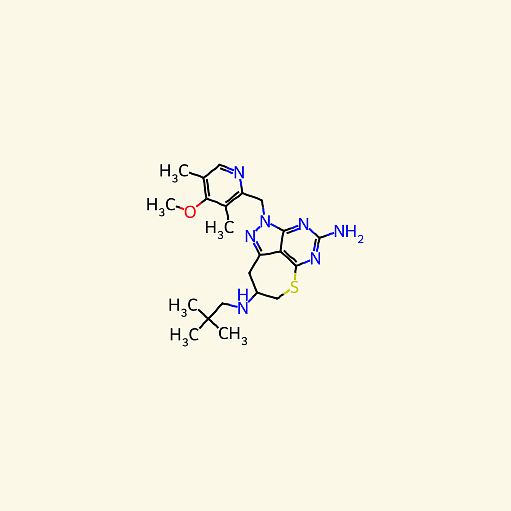 COc1c(C)cnc(Cn2nc3c4c(nc(N)nc42)SCC(NCC(C)(C)C)C3)c1C